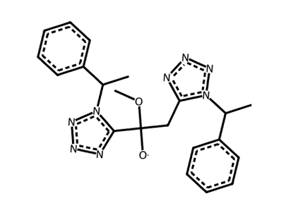 COC([O])(Cc1nnnn1C(C)c1ccccc1)c1nnnn1C(C)c1ccccc1